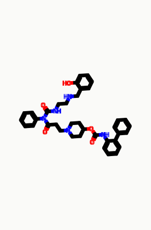 O=C(Nc1ccccc1-c1ccccc1)OC1CCN(CCC(=O)N(C(=O)NCCNCc2ccccc2O)c2ccccc2)CC1